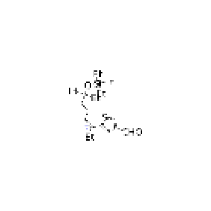 CC/C(=C/CCC(CC)(CC)O[Si](CC)(CC)CC)c1cc(C=O)cs1